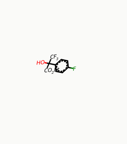 CCOC(=O)C(O)(c1ccc(F)cc1)C(F)(F)F